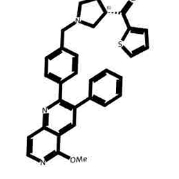 COc1nccc2nc(-c3ccc(CN4CC[C@H](C(=O)c5cccs5)C4)cc3)c(-c3ccccc3)cc12